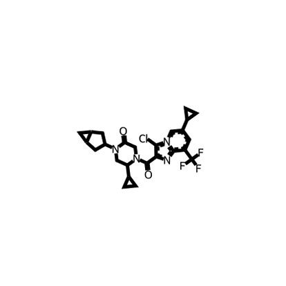 O=C1CN(C(=O)c2nc3c(C(F)(F)F)cc(C4CC4)cn3c2Cl)C(C2CC2)CN1C1CC2CC2C1